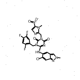 Cn1cc2cc(Nc3nc(=O)n(Cc4ncc([N+](=O)[O-])n4C)c(=O)n3Cc3cc(F)c(F)cc3F)c(Cl)cc2n1